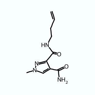 C=CCCNC(=O)c1nn(C)cc1C(N)=O